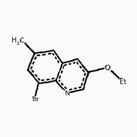 CCOc1cnc2c(Br)cc(C)cc2c1